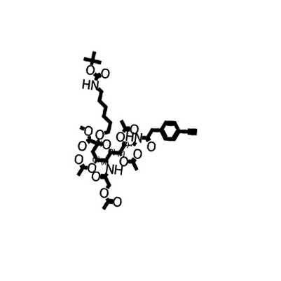 C#Cc1ccc(CC(=O)NC[C@@H](OC(C)=O)[C@@H](OC(C)=O)[C@@H]2O[C@@](OCCCCCCNC(=O)OC(C)(C)C)(C(=O)OC)C[C@H](OC(C)=O)[C@H]2NC(=O)COC(C)=O)cc1